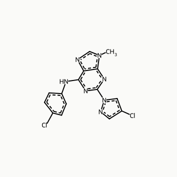 Cn1cnc2c(Nc3ccc(Cl)cc3)nc(-n3cc(Cl)cn3)nc21